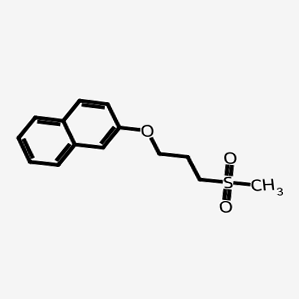 CS(=O)(=O)CCCOc1ccc2ccccc2c1